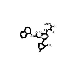 CC[C@H](NC)C(=O)Nc1ncc(-c2ccc(F)cc2C)n(CC(=O)N[C@@H]2CCCc3ccccc32)c1=O